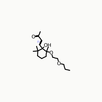 CCCOCCOC1(C)CCCC(C)(C)C1(O)/C=C/C(C)=O